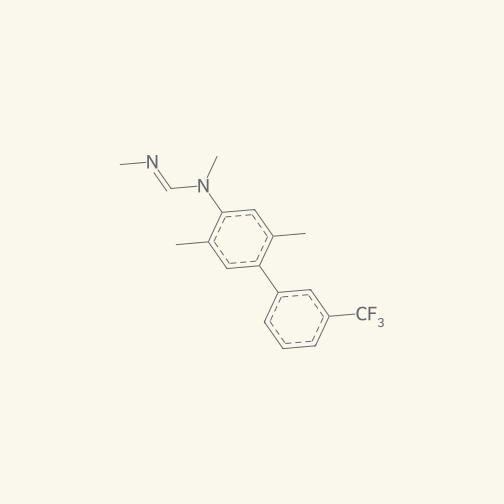 CN=CN(C)c1cc(C)c(-c2cccc(C(F)(F)F)c2)cc1C